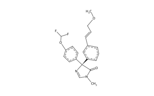 COC/C=C/c1cccc([C@]2(c3ccc(OC(F)F)cc3)N=CN(C)C2=O)c1